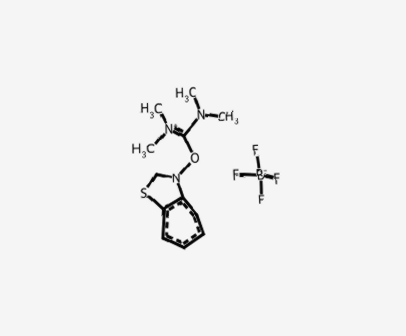 CN(C)C(ON1CSc2ccccc21)=[N+](C)C.F[B-](F)(F)F